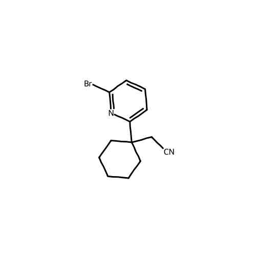 N#CCC1(c2cccc(Br)n2)CCCCC1